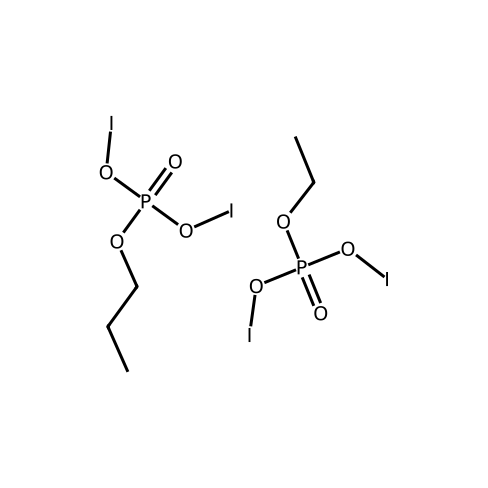 CCCOP(=O)(OI)OI.CCOP(=O)(OI)OI